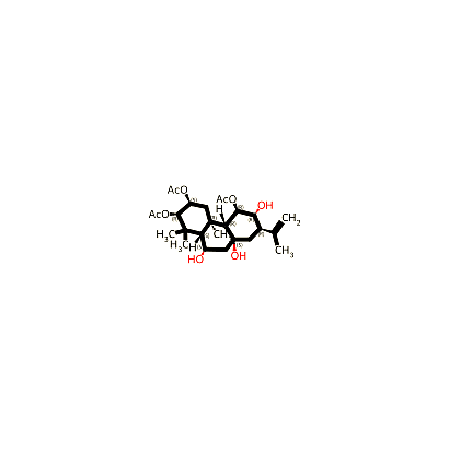 C=C(C)[C@H]1C[C@]2(O)C[C@H](O)[C@@H]3C(C)(C)[C@@H](OC(C)=O)[C@@H](OC(C)=O)C[C@@]3(C)[C@@H]2[C@@H](OC(C)=O)[C@@H]1O